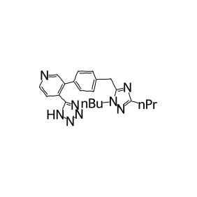 CCCCn1nc(CCC)nc1Cc1ccc(-c2cnccc2-c2nnn[nH]2)cc1